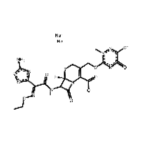 CCON=C(C(=O)NC1C(=O)N2C(C(=O)[O-])=C(CSc3nc(=O)c([O-])nn3C)CS[C@@H]12)c1nsc(N)n1.[Na+].[Na+]